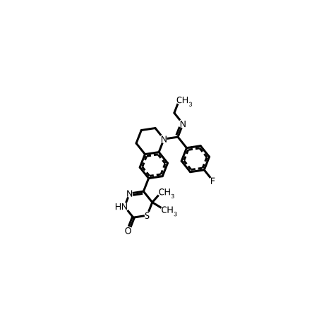 CC/N=C(/c1ccc(F)cc1)N1CCCc2cc(C3=NNC(=O)SC3(C)C)ccc21